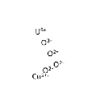 [Cu+2].[O-2].[O-2].[O-2].[O-2].[U+6]